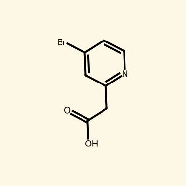 O=C(O)Cc1cc(Br)ccn1